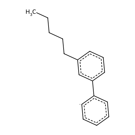 CCCCCc1cccc(-c2[c]cccc2)c1